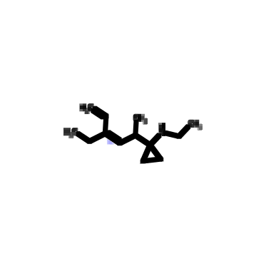 C=C/C(=C\C(C)C1(NCC)CC1)CC